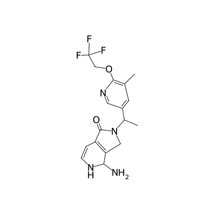 Cc1cc(C(C)N2CC3=C(C=CNC3N)C2=O)cnc1OCC(F)(F)F